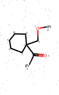 CC(C)OCC1(C(=O)C(C)C)CCCCC1